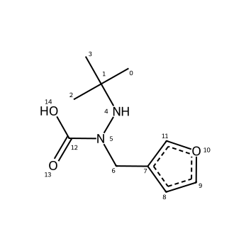 CC(C)(C)NN(Cc1ccoc1)C(=O)O